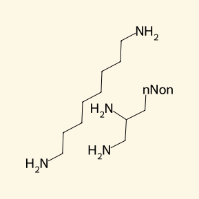 CCCCCCCCCCC(N)CN.NCCCCCCCCN